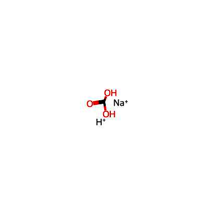 O=C(O)O.[H+].[Na+]